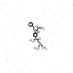 CCN(CC)CCC(=O)N(C)c1ccc2c(c1)nc(C(N)=O)n2CCc1cccnc1